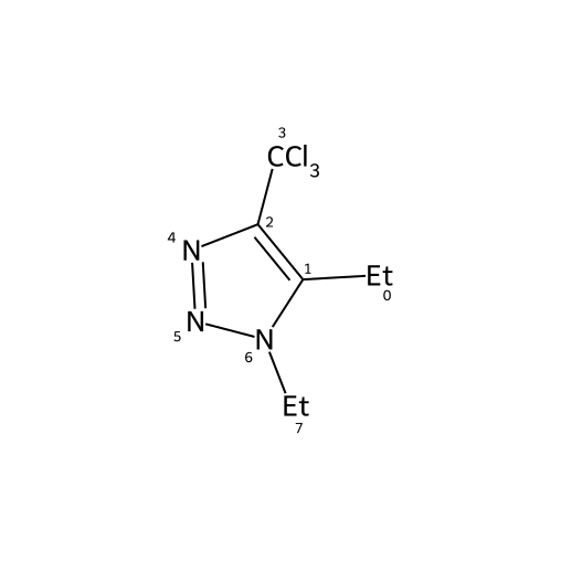 CCc1c(C(Cl)(Cl)Cl)nnn1CC